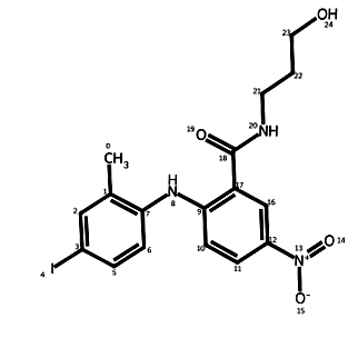 Cc1cc(I)ccc1Nc1ccc([N+](=O)[O-])cc1C(=O)NCCCO